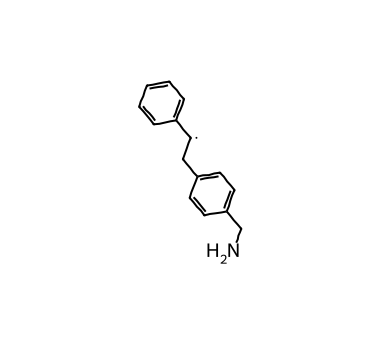 NCc1ccc(C[CH]c2ccccc2)cc1